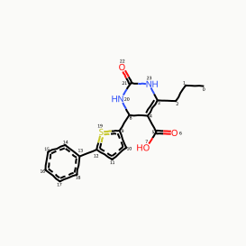 CCCC1=C(C(=O)O)C(c2ccc(-c3ccccc3)s2)NC(=O)N1